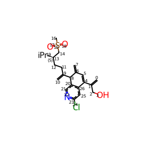 C=C(CO)C1=CC(=C)C(C(=C)CC[C@H](CS(C)(=O)=O)C(C)C)c2cnc(Cl)cc21